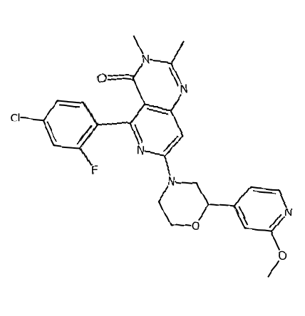 COc1cc(C2CN(c3cc4nc(C)n(C)c(=O)c4c(-c4ccc(Cl)cc4F)n3)CCO2)ccn1